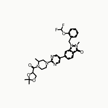 CC1CN(c2ncc(-c3ccc4c(=O)n(C)n(Cc5ccccc5OC(F)F)c4c3)cn2)CCN1C(=O)C1COC(C)(C)O1